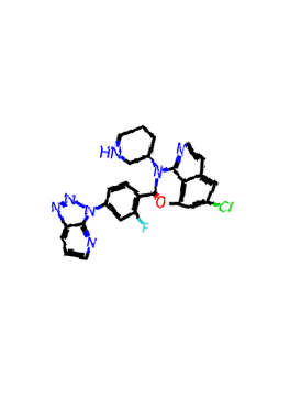 Cc1cc(Cl)cc2ccnc(N(C(=O)c3ccc(-n4nnc5cccnc54)cc3F)[C@@H]3CCCNC3)c12